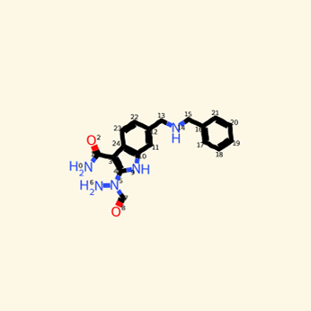 NC(=O)c1c(N(N)C=O)[nH]c2cc(CNCc3ccccc3)ccc12